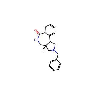 O=C1NC[C@H]2CN(Cc3ccccc3)CC2c2ccccc21